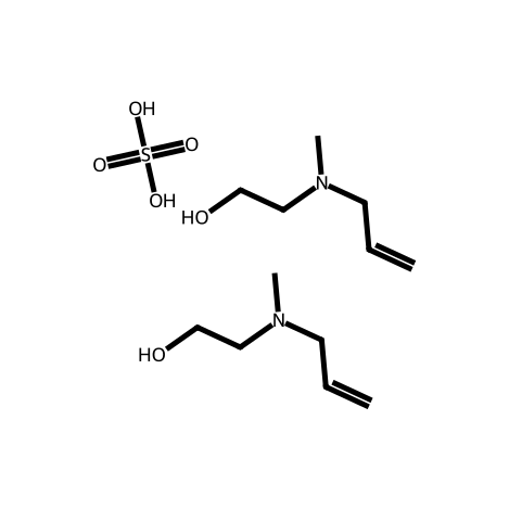 C=CCN(C)CCO.C=CCN(C)CCO.O=S(=O)(O)O